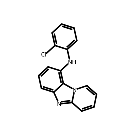 Clc1ccccc1Nc1cccc2nc3ccccn3c12